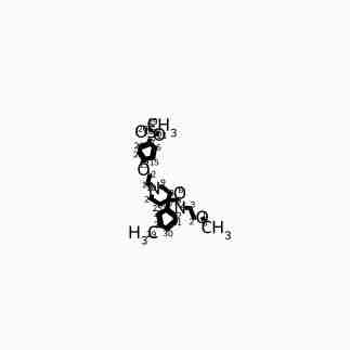 COCCN1C(=O)C2(CCN(CCOc3ccc(S(C)(=O)=O)cc3)CC2)c2cc(C)ccc21